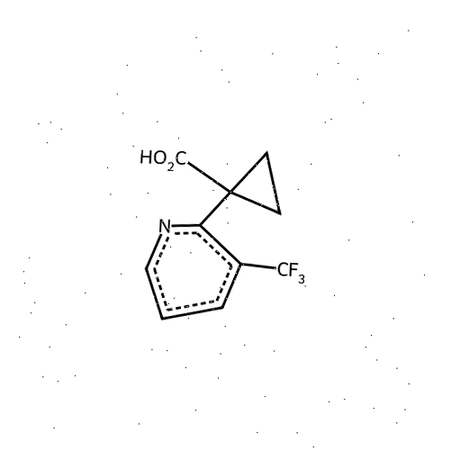 O=C(O)C1(c2ncccc2C(F)(F)F)CC1